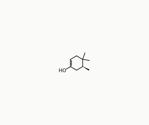 C[C@H]1CC(O)=CCC1(C)C